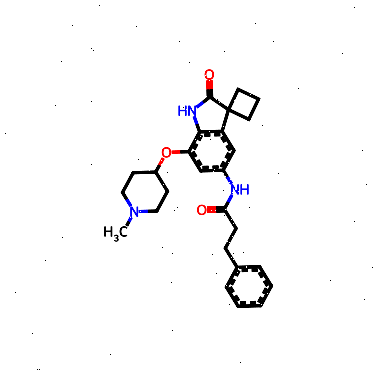 CN1CCC(Oc2cc(NC(=O)CCc3ccccc3)cc3c2NC(=O)C32CCC2)CC1